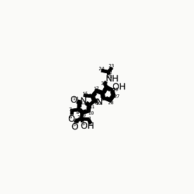 CCC1(O)C(=O)OCc2c1cc1n(c2=O)Cc2cc3c(CNC(C)C)c(O)ccc3nc2-1